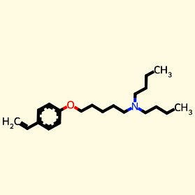 C=Cc1ccc(OCCCCCN(CCCC)CCCC)cc1